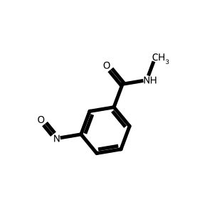 CNC(=O)c1cccc(N=O)c1